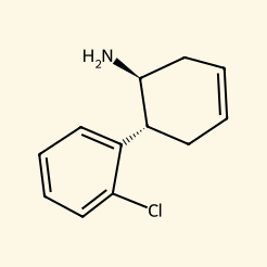 N[C@H]1CC=CC[C@@H]1c1ccccc1Cl